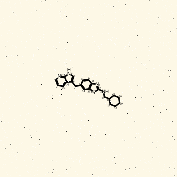 c1cnc2[nH]cc(Cc3ccc4nc(NCC5CCCCC5)sc4c3)c2c1